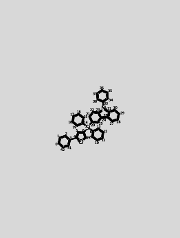 c1ccc(-c2cc([Si](c3ccccc3)(c3ccccc3)c3ccc4c(c3)c3ccccc3n4-c3ccccc3)co2)cc1